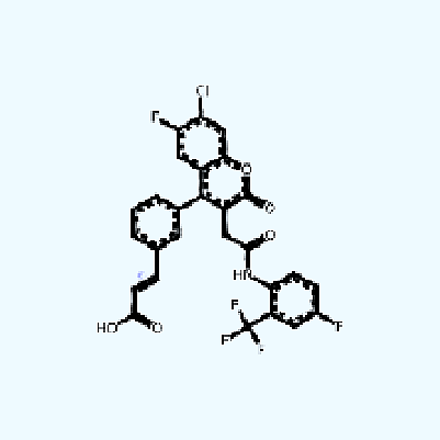 O=C(O)/C=C/c1cccc(-c2c(CC(=O)Nc3ccc(F)cc3C(F)(F)F)c(=O)oc3cc(Cl)c(F)cc23)c1